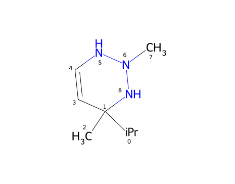 CC(C)C1(C)C=CNN(C)N1